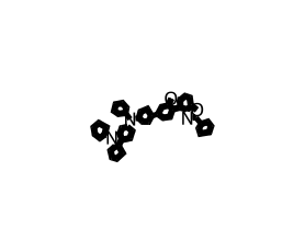 c1ccc(-c2nc3c(ccc4oc5cc(-c6ccc(N(c7ccccc7)c7ccc8c9ccccc9n(-c9ccccc9)c8c7)cc6)ccc5c43)o2)cc1